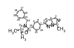 Cc1ncc2sc(-c3ccc(C(=O)N(Cc4ccccc4)CC(C)C)cc3)nn12